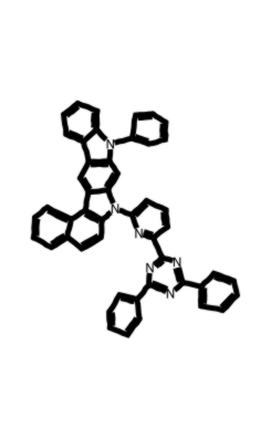 c1ccc(-c2nc(-c3ccccc3)nc(-c3cccc(-n4c5cc6c(cc5c5c7ccccc7ccc54)c4ccccc4n6-c4ccccc4)n3)n2)cc1